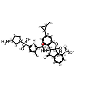 Cc1cc(S(=O)(=O)N2CC[C@H](N)C2)[nH]c1C(=O)NC12C(=O)c3cccc([N+](=O)[O-])c3C1(O)Oc1cc(C3CC3C)ccc12